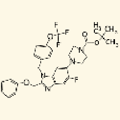 CC(C)(C)OC(=O)N1CCN(c2cc3c(cc2F)nc(COc2ccccc2)n3Cc2ccc(OC(F)(F)F)cc2)CC1